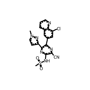 Cn1ccc(-c2nc(NS(C)(=O)=O)c(C#N)nc2-c2cc(Cl)c3ncccc3c2)n1